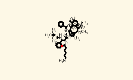 CO[C@H]1C(=O)[C@]2(C)[C@@H](OC)C[C@H]3OC[C@@]3(OC(C)C)[C@H]2[C@H](OC(=O)c2ccccc2)[C@]2(O)C[C@H](OC(=O)[C@H](OC(=O)CCCCCN)[C@@H](NC(=O)OC(C)(C)C)c3ccccc3)C(C)=C1C2(C)C